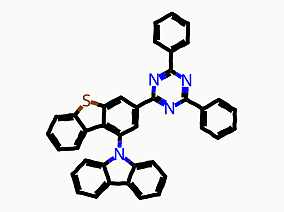 c1ccc(-c2nc(-c3ccccc3)nc(-c3cc(-n4c5ccccc5c5ccccc54)c4c(c3)sc3ccccc34)n2)cc1